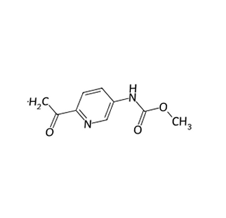 [CH2]C(=O)c1ccc(NC(=O)OC)cn1